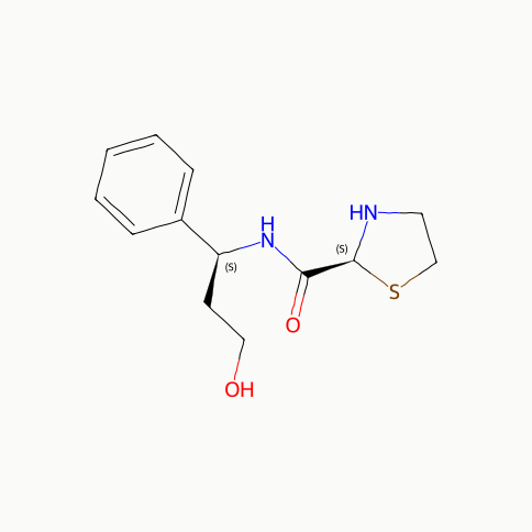 O=C(N[C@@H](CCO)c1ccccc1)[C@H]1NCCS1